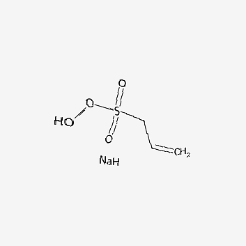 C=CCS(=O)(=O)OO.[NaH]